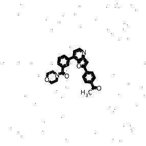 CC(=O)c1ccc(-c2cc3nccc(-c4cccc(C(=O)N5CCOCC5)c4)c3o2)cc1